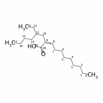 CCCCCCCCC=C(CC(CC)CCCC)C(=O)O